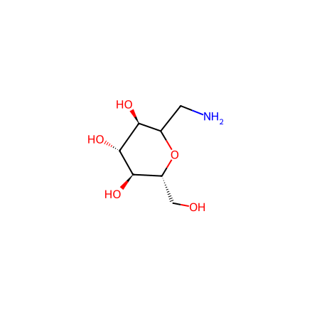 NCC1O[C@H](CO)[C@@H](O)[C@H](O)[C@H]1O